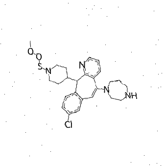 COOSN1CCC(C2c3ccc(Cl)cc3C=C(N3CCCNCC3)c3cccnc32)CC1